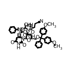 COc1ccc(C(OC[C@H]2O[C@@H](n3ccc(=O)[nH]c3=O)[C@H](OC(=O)Nc3ccccc3)[C@@H]2O[PH](O)(CCC#N)N(C(C)C)C(C)C)(c2ccccc2)c2ccc(OC)cc2)cc1